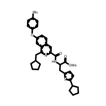 COC(=O)C(Cc1ccc(C2CCCC2)s1)NC(=O)c1cc2ccc(Oc3ccc(C(C)(C)C)cc3)cc2c(CC2CCCC2)n1